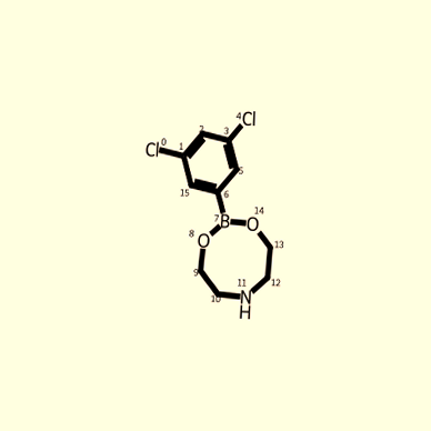 Clc1cc(Cl)cc(B2OCCNCCO2)c1